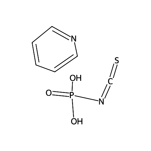 O=P(O)(O)N=C=S.c1ccncc1